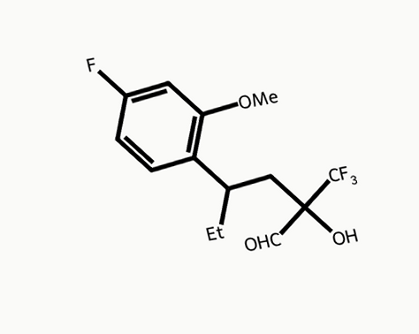 CCC(CC(O)(C=O)C(F)(F)F)c1ccc(F)cc1OC